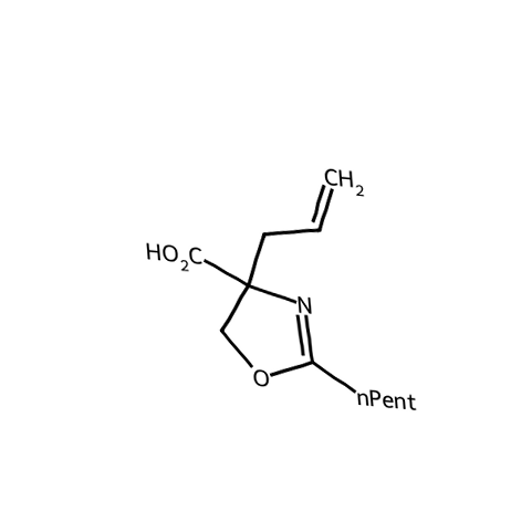 C=CCC1(C(=O)O)COC(CCCCC)=N1